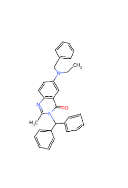 CCN(Cc1ccccc1)c1ccc2nc(C)n(C(c3ccccc3)c3ccccc3)c(=O)c2c1